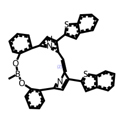 CB1Oc2ccccc2C2=N/C(=C\c3[nH]c(cc3-c3cc4ccccc4s3)-c3ccccc3O1)C(c1cc3ccccc3s1)=C2